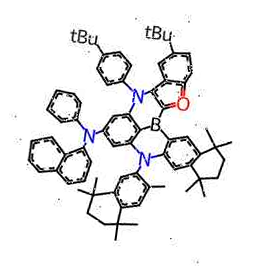 Cc1cc2c(cc1N1c3cc4c(cc3B3c5oc6ccc(C(C)(C)C)cc6c5N(c5ccc(C(C)(C)C)cc5)c5cc(N(c6ccccc6)c6cccc7ccccc67)cc1c53)C(C)(C)CCC4(C)C)C(C)(C)CCC2(C)C